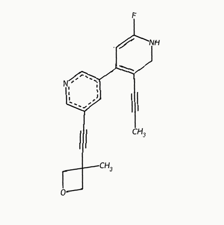 CC#CC1=C(c2cncc(C#CC3(C)COC3)c2)[C]=C(F)NC1